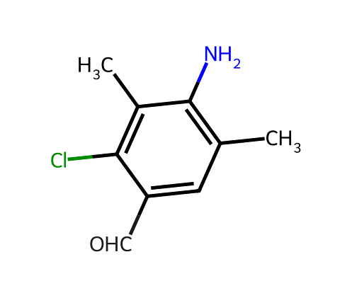 Cc1cc(C=O)c(Cl)c(C)c1N